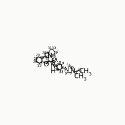 CC=C(C)N1CCN(c2ccc(NC(=O)C(=O)c3c(-c4ccccc4)cc4n3CCCC4)cc2)CC1